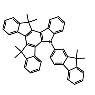 CC1(C)c2ccccc2-c2ccc(-n3c4ccccc4c4c5c(c6c(c43)-c3ccccc3C6(C)C)-c3ccccc3C5(C)C)cc21